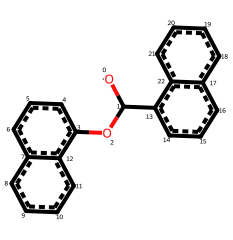 [O]C(Oc1cccc2ccccc12)c1cccc2ccccc12